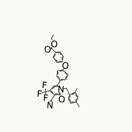 CCOC(=O)c1ccc(Oc2ccc(-c3cc(C(F)(F)F)c(C#N)c(=O)n3Cc3ccc(C)cc3C)cc2)cc1